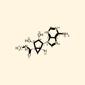 CNC(=O)[C@@]12C[C@@H]1[C@@H](n1cnc3c(N)ncnc31)[C@@H](O)[C@H]2O